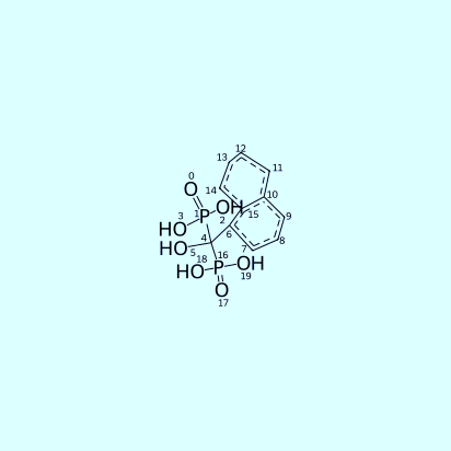 O=P(O)(O)C(O)(c1cccc2ccccc12)P(=O)(O)O